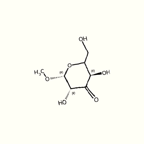 CO[C@@H]1OC(CO)[C@@H](O)C(=O)[C@@H]1O